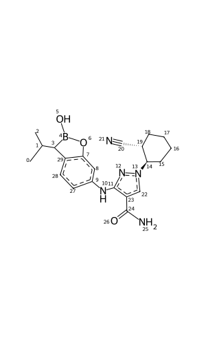 CC(C)C1B(O)Oc2cc(Nc3nn([C@@H]4CCCC[C@H]4C#N)cc3C(N)=O)ccc21